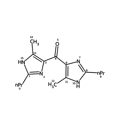 CCCc1nc(C(=O)c2nc(CCC)[nH]c2C)c(C)[nH]1